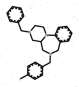 Ic1ccc(CN2Cc3ccccc3N3CCN(Cc4ccccc4)CC3C2)cc1